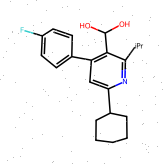 CC(C)c1nc(C2CCCCC2)cc(-c2ccc(F)cc2)c1C(O)O